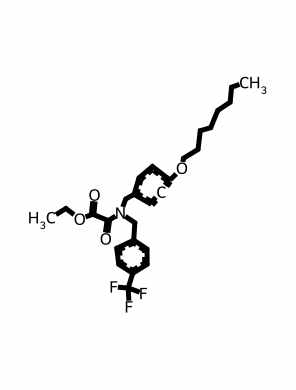 CCCCCCCCOc1ccc(CN(Cc2ccc(C(F)(F)F)cc2)C(=O)C(=O)OCC)cc1